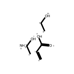 C=CC(=O)O.CCO.CCO.N